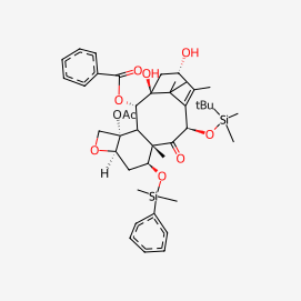 CC(=O)O[C@@]12CO[C@@H]1C[C@H](O[Si](C)(C)c1ccccc1)[C@@]1(C)C(=O)[C@H](O[Si](C)(C)C(C)(C)C)C3=C(C)[C@@H](O)C[C@@](O)([C@@H](OC(=O)c4ccccc4)C12)C3(C)C